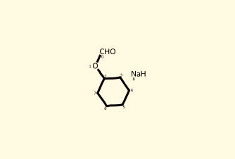 O=COC1CCCCC1.[NaH]